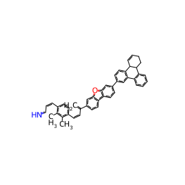 C=C(/C=C\c1ccc(/C=C\C=N)c(C)c1C)c1ccc2c(c1)oc1cc(-c3ccc4c(c3)-c3ccccc3C3CCC=CC43)ccc12